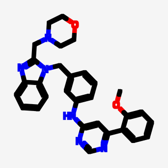 COc1ccccc1-c1cc(Nc2cccc(Cn3c(CN4CCOCC4)nc4ccccc43)c2)ncn1